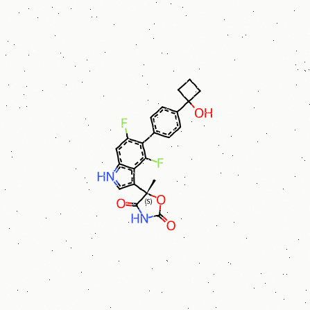 C[C@@]1(c2c[nH]c3cc(F)c(-c4ccc(C5(O)CCC5)cc4)c(F)c23)OC(=O)NC1=O